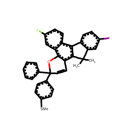 CSc1ccc(C2(c3ccccc3)C=Cc3c4c(c5ccc(F)cc5c3O2)-c2ccc(I)cc2C4(C)C)cc1